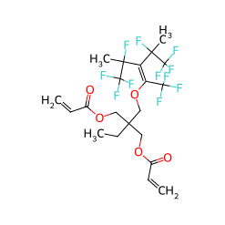 C=CC(=O)OCC(CC)(COC(=O)C=C)COC(=C(C(C)(F)C(F)(F)F)C(C)(F)C(F)(F)F)C(F)(F)F